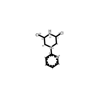 ClC1CN(c2ccccn2)CC(Cl)N1